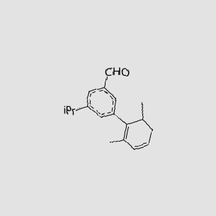 CC1=C(c2cc(C=O)cc(C(C)C)c2)C(C)CC=C1